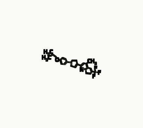 Cc1cc(-c2ccc(-c3ccc(OCC(C)C)cc3)cc2)nc2ccc(C(F)(F)F)cc12